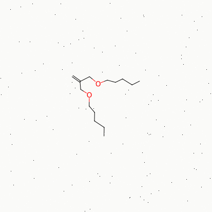 C=C(COCCCCC)COCCCCC